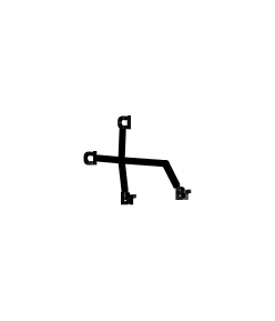 ClC(Cl)(Br)CBr